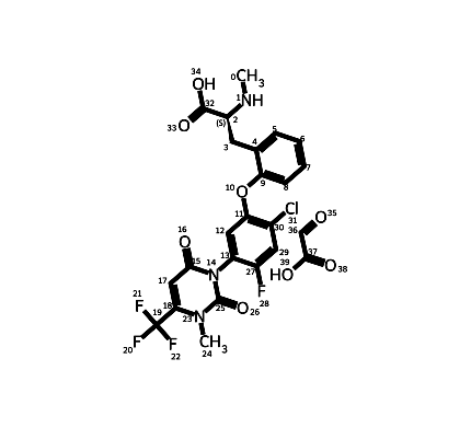 CN[C@@H](Cc1ccccc1Oc1cc(-n2c(=O)cc(C(F)(F)F)n(C)c2=O)c(F)cc1Cl)C(=O)O.O=CC(=O)O